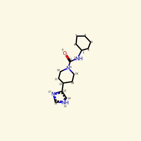 O=C(NC1CCCCC1)N1CCC(c2c[nH]cn2)CC1